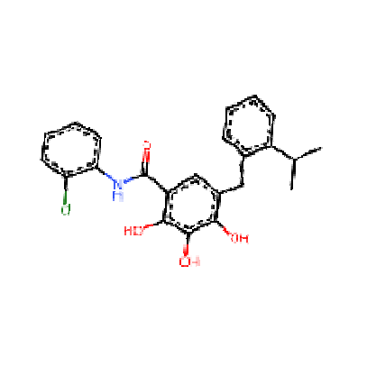 CC(C)c1ccccc1Cc1cc(C(=O)Nc2ccccc2Cl)c(O)c(O)c1O